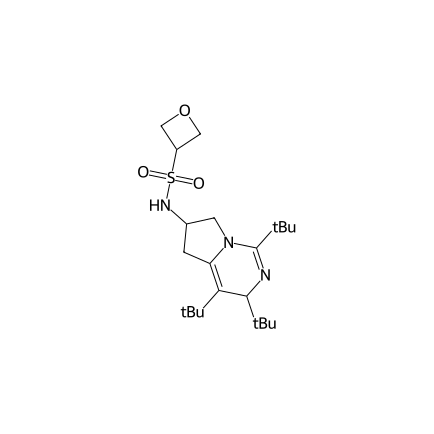 CC(C)(C)C1=NC(C(C)(C)C)C(C(C)(C)C)=C2CC(NS(=O)(=O)C3COC3)CN12